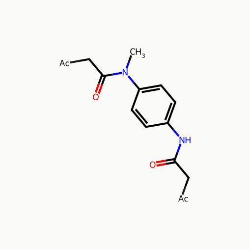 CC(=O)CC(=O)Nc1ccc(N(C)C(=O)CC(C)=O)cc1